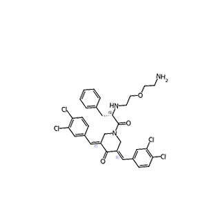 NCCOCCN[C@@H](Cc1ccccc1)C(=O)N1C/C(=C\c2ccc(Cl)c(Cl)c2)C(=O)/C(=C/c2ccc(Cl)c(Cl)c2)C1